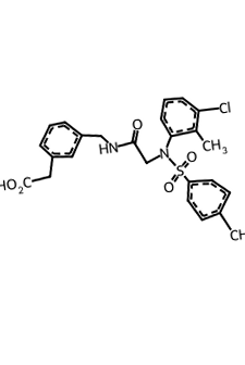 Cc1ccc(S(=O)(=O)N(CC(=O)NCc2cccc(CC(=O)O)c2)c2cccc(Cl)c2C)cc1